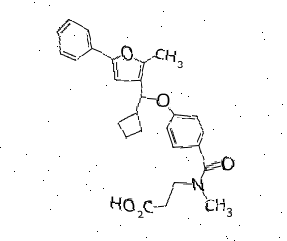 Cc1oc(-c2ccccc2)cc1C(Oc1ccc(C(=O)N(C)CCC(=O)O)cc1)C1CCC1